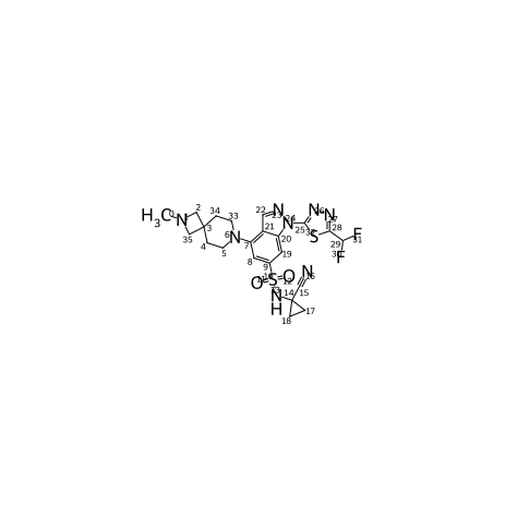 CN1CC2(CCN(c3cc(S(=O)(=O)NC4(C#N)CC4)cc4c3cnn4-c3nnc(C(F)F)s3)CC2)C1